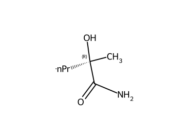 CC[CH][C@@](C)(O)C(N)=O